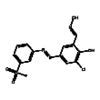 O=S(=O)(F)c1cccc(N=Nc2cc(Cl)c(O)c(C=NO)c2)c1